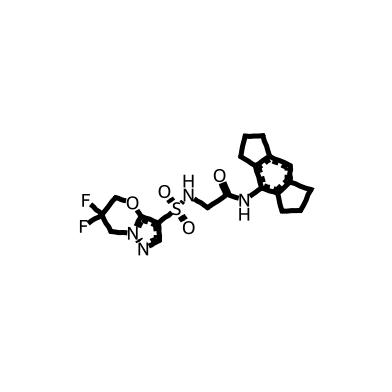 O=C(CNS(=O)(=O)c1cnn2c1OCC(F)(F)C2)Nc1c2c(cc3c1CCC3)CCC2